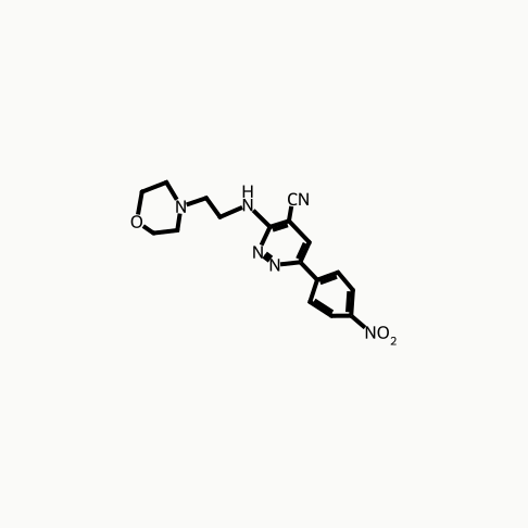 N#Cc1cc(-c2ccc([N+](=O)[O-])cc2)nnc1NCCN1CCOCC1